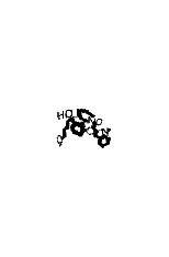 CNC[C@@H](CC(=O)N1CCC[C@@H](C(O)(CCCCOC)c2cccc(Cl)c2)C1)CC1CCCCC1